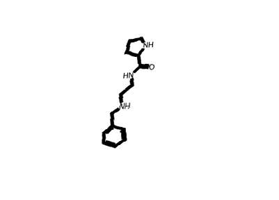 O=C(NCCNCc1ccccc1)C1CCCN1